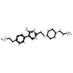 CCCc1ccc(-c2cnc(CC[C@H]3CC[C@H](CCC)CC3)nc2F)cc1